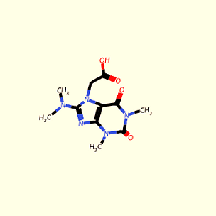 CN(C)c1nc2c(c(=O)n(C)c(=O)n2C)n1CC(=O)O